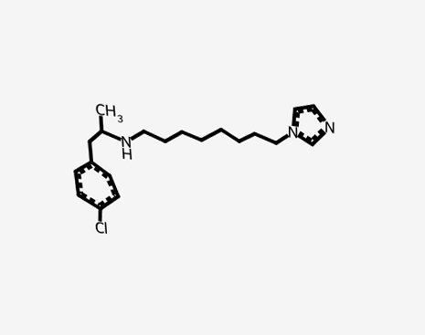 CC(Cc1ccc(Cl)cc1)NCCCCCCCCn1ccnc1